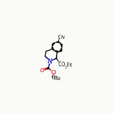 CCOC(=O)C1c2ccc(C#N)cc2CCN1C(=O)OC(C)(C)C